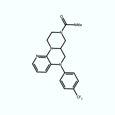 CNC(=O)N1CCN2c3ncccc3N(c3ccc(C(F)(F)F)cc3)CC2C1